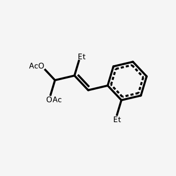 CC/C(=C\c1ccccc1CC)C(OC(C)=O)OC(C)=O